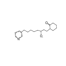 COC(CCCCCc1cccnc1)CCC1CCCCC1=O